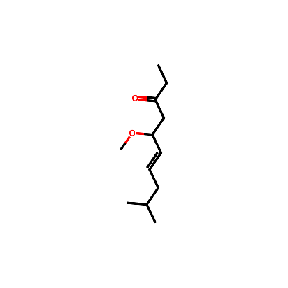 CCC(=O)CC(C=CCC(C)C)OC